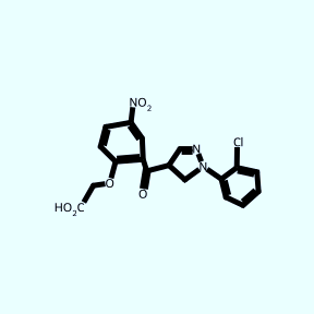 O=C(O)COc1ccc([N+](=O)[O-])cc1C(=O)C1C=NN(c2ccccc2Cl)C1